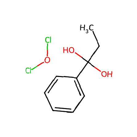 CCC(O)(O)c1ccccc1.ClOCl